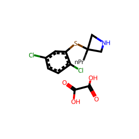 CCCC1(Sc2cc(Cl)ccc2Cl)CNC1.O=C(O)C(=O)O